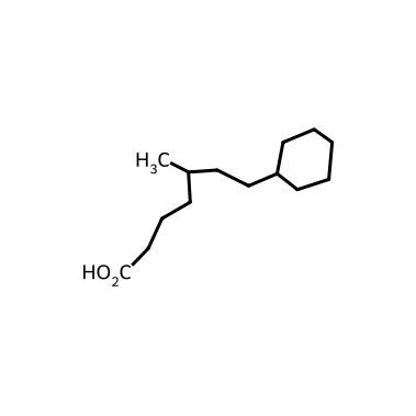 CC(CCCC(=O)O)CCC1CCCCC1